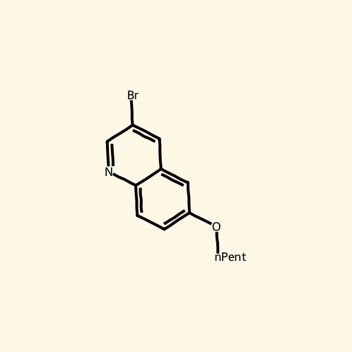 CCCCCOc1ccc2ncc(Br)cc2c1